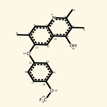 Cc1cc2nc(C)c(C)c(O)c2cc1Oc1ccc(OC(F)(F)F)cc1